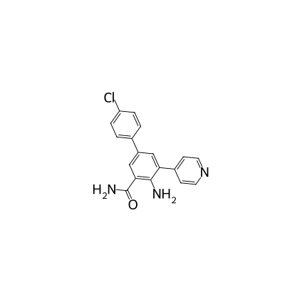 NC(=O)c1cc(-c2ccc(Cl)cc2)cc(-c2ccncc2)c1N